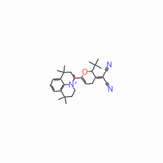 C=C(C1=CCC(=C(C#N)C#N)C(C(C)(C)C)O1)[N+]12CCC(C)(C)c3cccc(c31)C(C)(C)CC2